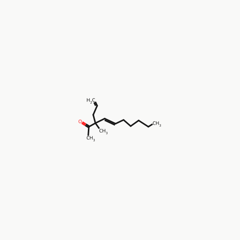 C=CCC(C)(C=CCCCCC)C(C)=O